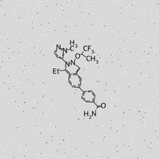 CCC1=c2ccc(-c3ccc(C(N)=O)cc3)cc2=CN(OC(C)C(F)(F)F)N1c1ccnn1C